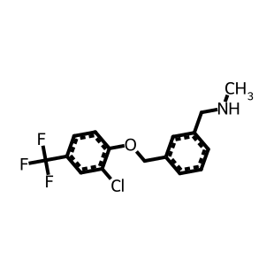 CNCc1cccc(COc2ccc(C(F)(F)F)cc2Cl)c1